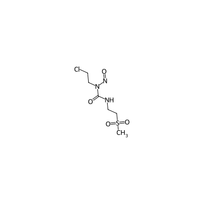 CS(=O)(=O)CCNC(=O)N(CCCl)N=O